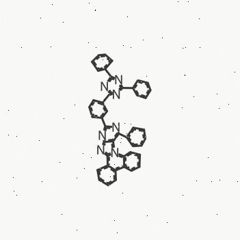 c1ccc(-c2nc(-c3ccccc3)nc(-c3cccc(-c4nc(-c5ccccc5)c5c(n4)nc4c6ccccc6c6ccccc6n45)c3)n2)cc1